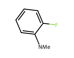 [CH2]Nc1ccccc1F